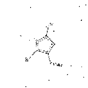 COc1cc(C(C)=O)sc1Br